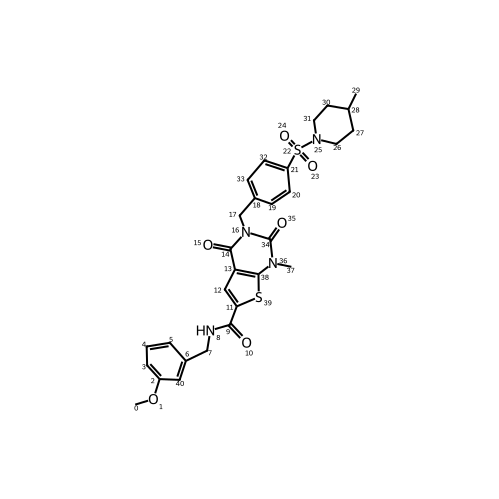 COc1cccc(CNC(=O)c2cc3c(=O)n(Cc4ccc(S(=O)(=O)N5CCC(C)CC5)cc4)c(=O)n(C)c3s2)c1